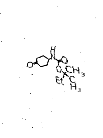 CCC(C)(C)OC(=O)NC1CCC(=O)CC1